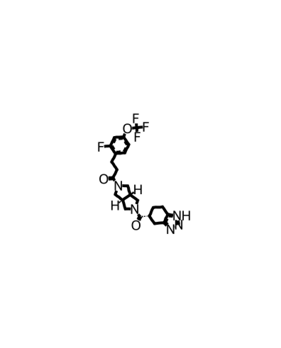 O=C(CCc1ccc(OC(F)(F)F)cc1F)N1C[C@@H]2CN(C(=O)[C@@H]3CCc4[nH]nnc4C3)C[C@H]2C1